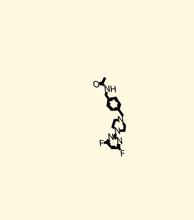 CC(=O)NCc1ccc(CN2CCN(c3nc(F)cc(F)n3)CC2)cc1